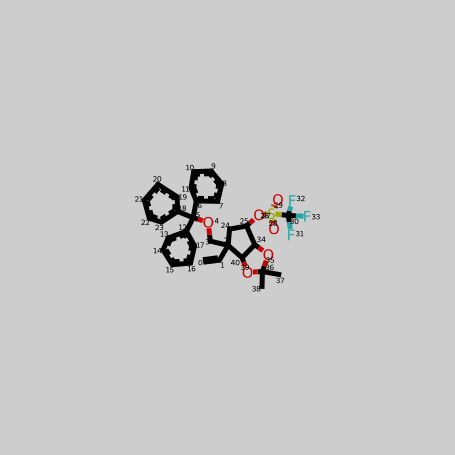 C=CC1(COC(c2ccccc2)(c2ccccc2)c2ccccc2)CC(OS(=O)(=O)C(F)(F)F)C2OC(C)(C)OC21